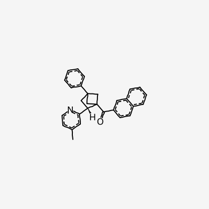 Cc1ccnc([C@@H]2CC3(c4ccccc4)CC2(C(=O)c2ccc4ccccc4c2)C3)c1